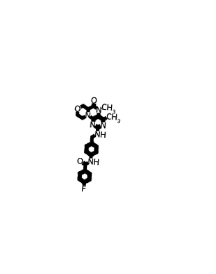 Cc1nc(NCc2ccc(NC(=O)c3ccc(F)cc3)cc2)nc2c1N(C)C(=O)C1COCCN21